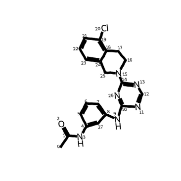 CC(=O)Nc1cccc(Nc2ncnc(N3CCc4c(Cl)cccc4C3)n2)c1